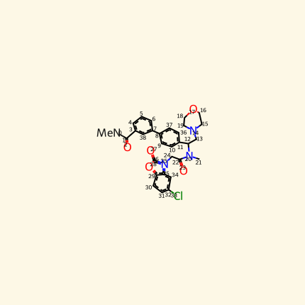 CNC(=O)c1cccc(-c2ccc(C(CN3CCOCC3)N(C)C(=O)Cn3c(=O)oc4ccc(Cl)cc43)cc2)c1